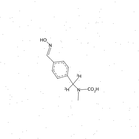 [2H]C([2H])(c1ccc(C=NO)cc1)N(C)C(=O)O